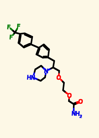 NC(=O)COCCOCC(Cc1ccc(-c2ccc(C(F)(F)F)cc2)cc1)N1CCNCC1